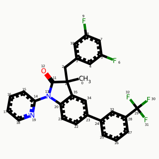 CC1(Cc2cc(F)cc(F)c2)C(=O)N(c2ccccn2)c2ccc(-c3cccc(C(F)(F)F)c3)cc21